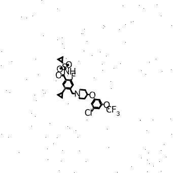 O=C(NS(=O)(=O)C1CC1)c1cc(C2CC2)c(CN2CCC(Oc3cc(Cl)cc(OC(F)(F)F)c3)CC2)cc1F